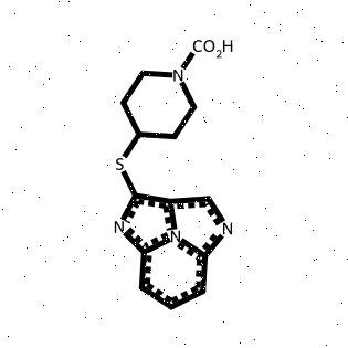 O=C(O)N1CCC(Sc2nc3cccc4ncc2n43)CC1